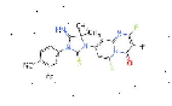 CCc1c(F)nc2cc(N3C(=S)N(c4ccc(C#N)c(C(F)(F)F)c4)C(=N)C3(C)C)cc(F)n2c1=O